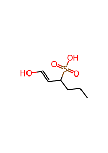 CCCC(/C=C/O)S(=O)(=O)O